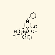 CC(C)(C)[Si](C)(C)OC1CCN(Cc2ccccc2)CC1C(=O)O